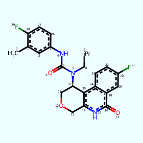 Cc1cc(NC(=O)N(CC(C)C)[C@@H]2COCc3[nH]c(=O)c4cc(F)ccc4c32)ccc1F